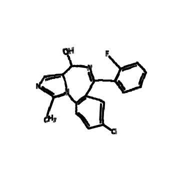 Cc1ncc2n1-c1ccc(Cl)cc1C(c1ccccc1F)=NC2O